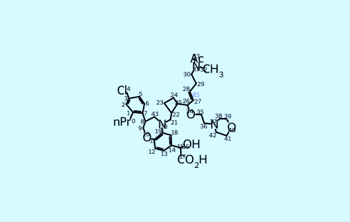 CCCc1cc(Cl)ccc1C1COc2ccc(C(O)C(=O)O)cc2N(CC2CCC2C(/C=C/CCN(C)C(C)=O)OCCN2CCOCC2)C1